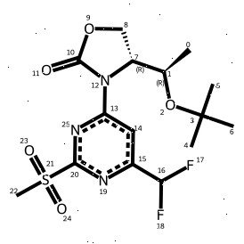 C[C@@H](OC(C)(C)C)[C@H]1COC(=O)N1c1cc(C(F)F)nc(S(C)(=O)=O)n1